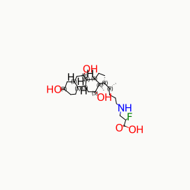 C[C@H](CCCNCC(F)C(=O)O)[C@H]1CC[C@H]2[C@@H]3[C@H](O)C[C@@H]4C[C@H](O)CC[C@]4(C)[C@H]3C[C@H](O)[C@]12C